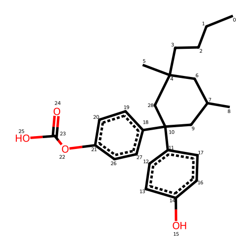 CCCCC1(C)CC(C)CC(c2ccc(O)cc2)(c2ccc(OC(=O)O)cc2)C1